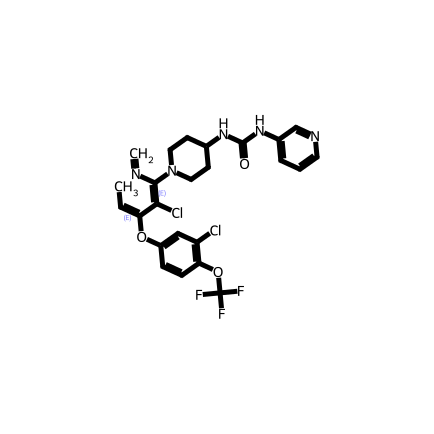 C=N/C(=C(Cl)\C(=C/C)Oc1ccc(OC(F)(F)F)c(Cl)c1)N1CCC(NC(=O)Nc2cccnc2)CC1